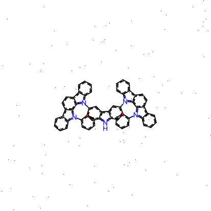 c1ccc(-n2c3ccccc3c3ccc4c5ccccc5n(-c5ccc6[nH]c7ccc(-n8c9ccccc9c9ccc%10c%11ccccc%11n(-c%11ccccc%11)c%10c98)cc7c6c5)c4c32)cc1